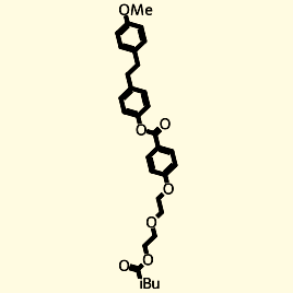 CCC(C)C(=O)OCCOCCOc1ccc(C(=O)Oc2ccc(CCc3ccc(OC)cc3)cc2)cc1